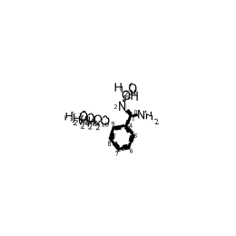 NC(=NO)c1ccccc1.O.O.O.O.O